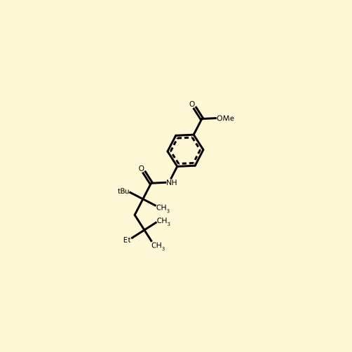 CCC(C)(C)CC(C)(C(=O)Nc1ccc(C(=O)OC)cc1)C(C)(C)C